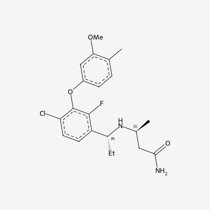 CC[C@@H](N[C@@H](C)CC(N)=O)c1ccc(Cl)c(Oc2ccc(C)c(OC)c2)c1F